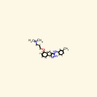 Cc1cccc(Nc2[nH]nc3c2Cc2c(OCCCN(C)C)cccc2-3)c1